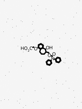 O=C(O)COc1cccc2c1CCCC(COC(=O)N(c1ccccc1)c1ccccc1)C2O